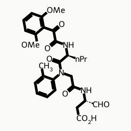 CCC[C@H](NC(=O)C(=O)c1c(OC)cccc1OC)C(=O)N(CC(=O)N[C@H](C=O)CC(=O)O)c1ccccc1C